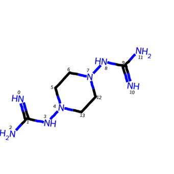 N=C(N)NN1CCN(NC(=N)N)CC1